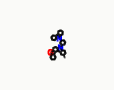 Cc1ccc2c(c1)c1c3c(ccc1n2-c1cccc(-n2c4ccccc4c4ccccc42)c1)oc1ccccc13